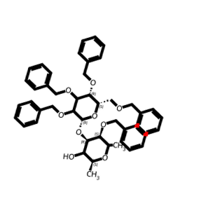 CC1O[C@@H](C)C(O)[C@@H](O[C@H]2O[C@@H](COCc3ccccc3)[C@@H](OCc3ccccc3)C(OCc3ccccc3)C2OCc2ccccc2)[C@H]1OCc1ccccc1